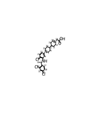 C[C@@H](Nc1cc(N2CCC(C3CCN(CC(=O)O)CC3)CC2)ccc1Cl)c1ccc(Cl)cc1Cl